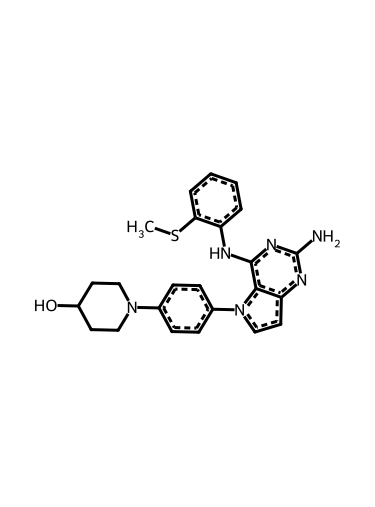 CSc1ccccc1Nc1nc(N)nc2ccn(-c3ccc(N4CCC(O)CC4)cc3)c12